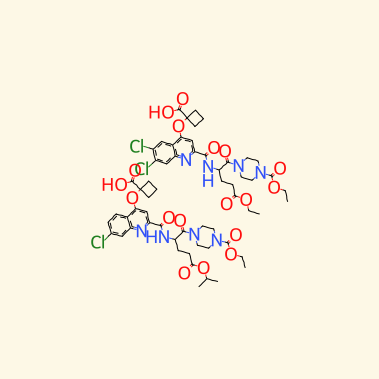 CCOC(=O)CCC(NC(=O)c1cc(OC2(C(=O)O)CCC2)c2cc(Cl)c(Cl)cc2n1)C(=O)N1CCN(C(=O)OCC)CC1.CCOC(=O)N1CCN(C(=O)C(CCC(=O)OC(C)C)NC(=O)c2cc(OC3(C(=O)O)CCC3)c3ccc(Cl)cc3n2)CC1